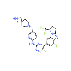 Fc1cnc(Nc2ccc(CN3CCC4(CC3)CNC4)cn2)nc1-c1cc(F)c2nc3n(c2c1)C(C(F)(F)F)CC3